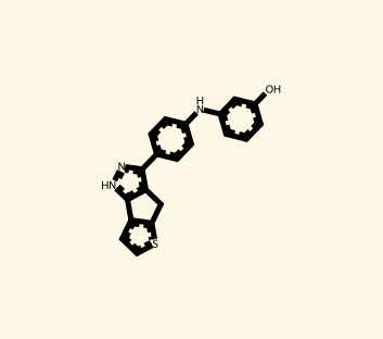 Oc1cccc(Nc2ccc(-c3n[nH]c4c3Cc3sccc3-4)cc2)c1